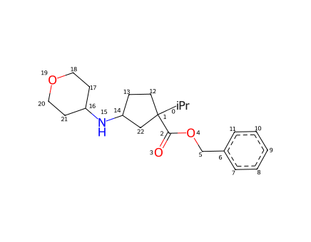 CC(C)C1(C(=O)OCc2ccccc2)CCC(NC2CCOCC2)C1